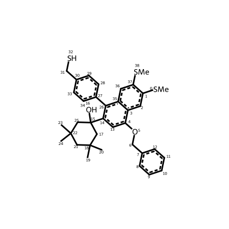 CSc1cc2c(OCc3ccccc3)cc(C3(O)CC(C)(C)CC(C)(C)C3)c(-c3ccc(CS)cc3)c2cc1SC